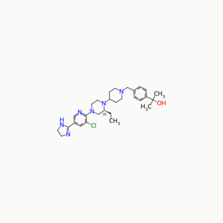 CC[C@H]1CN(c2ncc(C3=NCCN3)cc2Cl)CCN1C1CCN(Cc2ccc(C(C)(C)O)cc2)CC1